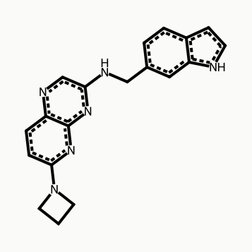 c1cc2ccc(CNc3cnc4ccc(N5CCC5)nc4n3)cc2[nH]1